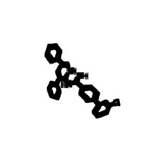 N=C(NC1NC=C(c2ccccc2)C=C1c1ccccc1)c1ccc(-c2cccc(Cl)c2)cc1